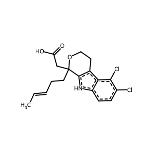 CC=CCCC1(CC(=O)O)OCCc2c1[nH]c1ccc(Cl)c(Cl)c21